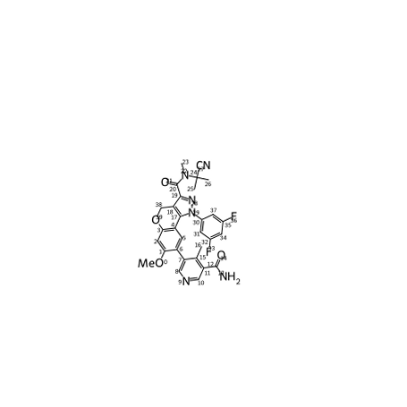 COc1cc2c(cc1-c1cncc(C(N)=O)c1C)-c1c(c(C(=O)N(C)C(C)(C)C#N)nn1-c1cc(F)cc(F)c1)CO2